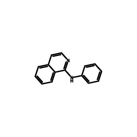 c1ccc(Nc2nccc3ccccc23)cc1